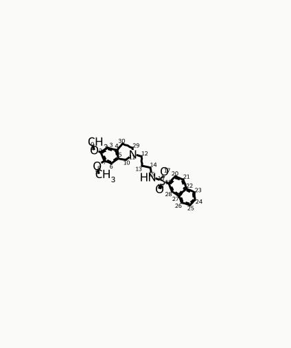 COc1cc2c(cc1OC)CN(CCCNS(=O)(=O)c1ccc3ccccc3c1)CC2